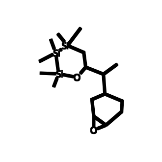 CC(C1CCC2OC2C1)C1C[Si](C)(C)[Si](C)(C)[Si](C)(C)O1